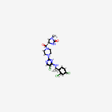 C[C@@H](Nc1nc(N2CCN(C(=O)[C@H]3CN(C)C(=O)N3)CC2)ncc1Cl)c1ccc(Cl)cc1Cl